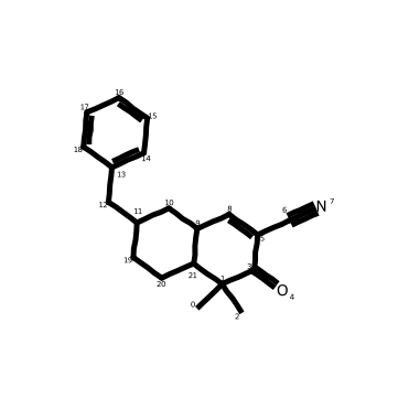 CC1(C)C(=O)C(C#N)=CC2CC(Cc3ccccc3)CCC21